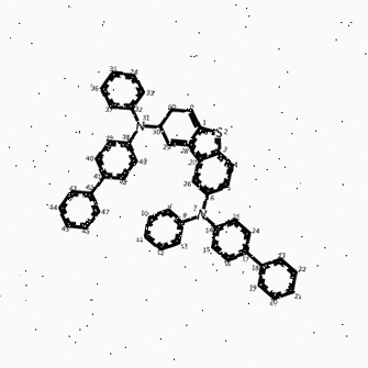 C1=c2sc3ccc(N(c4ccccc4)c4ccc(-c5ccccc5)cc4)cc3c2=CC(N(c2ccccc2)c2ccc(-c3ccccc3)cc2)C1